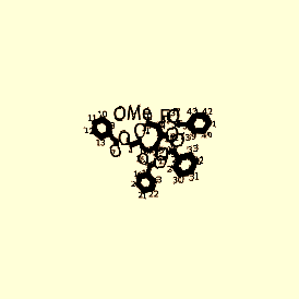 CO[C@@H]1OC(COC(=O)c2ccccc2)[C@@H](OC(=O)c2ccccc2)[C@@H](OC(=O)c2ccccc2)C(OC(=O)c2ccccc2)[C@@H]1F